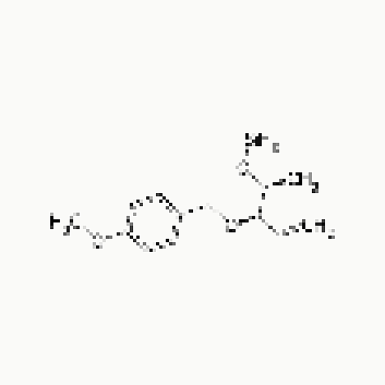 C=C[C@@H](OCc1ccc(OC)cc1)[C@H](C)O[SiH3]